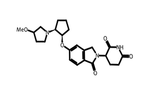 COC1CCN([C@H]2CCC[C@H]2Oc2ccc3c(c2)CN(C2CCC(=O)NC2=O)C3=O)C1